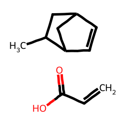 C=CC(=O)O.CC1CC2C=CC1C2